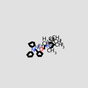 CC[n+]1c(-c2ccccc2OCC(C)[n+]2cc([Si](C)(C)C)c(C)cc2C)n(-c2ccccc2)c2ccccc21